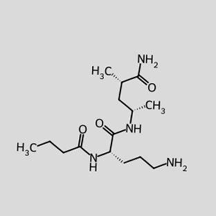 CCCC(=O)N[C@@H](CCCN)C(=O)N[C@@H](C)C[C@H](C)C(N)=O